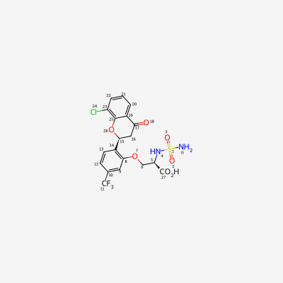 NS(=O)(=O)N[C@H](COc1cc(C(F)(F)F)ccc1[C@@H]1CC(=O)c2cccc(Cl)c2O1)C(=O)O